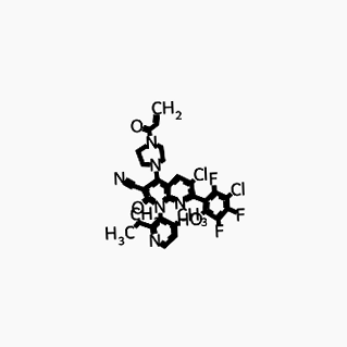 C=CC(=O)N1CCN(c2c(C#N)c(=O)n(-c3c(C)ccnc3C(C)C)c3nc(-c4c(O)c(F)c(F)c(Cl)c4F)c(Cl)cc23)CC1